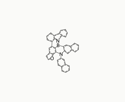 c1ccc2cc(N3c4cc5ccccc5cc4B4c5c(cc6ccoc6c53)-c3cccc5c6ccccc6n4c35)ccc2c1